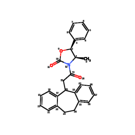 C[C@@H]1[C@H](c2ccccc2)OC(=O)N1C(=O)CC1c2ccccc2CCc2ccccc21